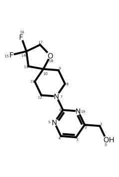 OCc1ccnc(N2CCC3(CC2)CC(F)(F)CO3)n1